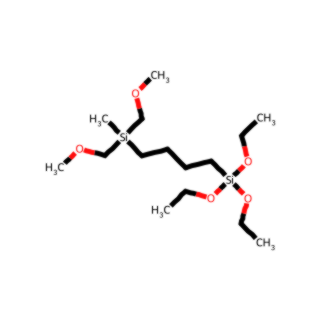 CCO[Si](CCCC[Si](C)(COC)COC)(OCC)OCC